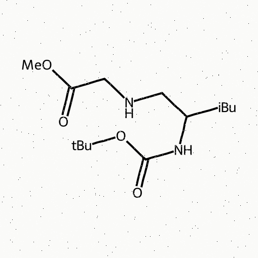 CCC(C)C(CNCC(=O)OC)NC(=O)OC(C)(C)C